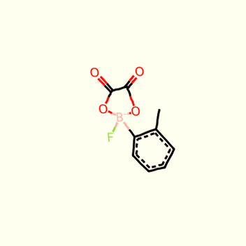 Cc1ccccc1[B-]1(F)OC(=O)C(=O)O1